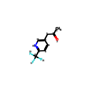 CC(=O)Cc1ccc(C(F)(F)F)nc1